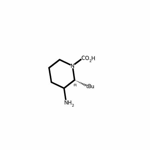 CC(C)(C)[C@@H]1C(N)CCCN1C(=O)O